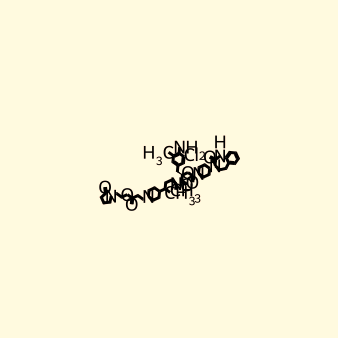 Cc1cc(C[C@@H](OC(=O)N2CCC(N3CCc4ccccc4NC3=O)CC2)C(=O)N(C)CCC(C)C2CCN(CCC(=O)OCCN3CCCC3=O)CC2)cc(Cl)c1N